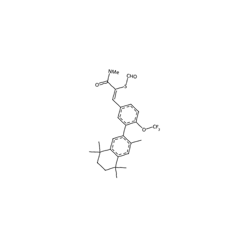 CNC(=O)/C(=C/c1ccc(OC(F)(F)F)c(-c2cc3c(cc2C)C(C)(C)CCC3(C)C)c1)SC=O